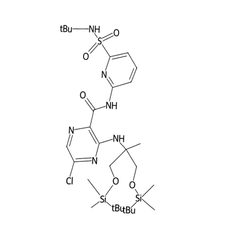 CC(C)(C)NS(=O)(=O)c1cccc(NC(=O)c2ncc(Cl)nc2NC(C)(CO[Si](C)(C)C(C)(C)C)CO[Si](C)(C)C(C)(C)C)n1